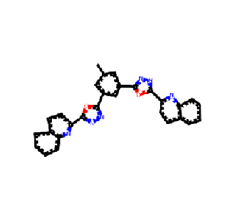 Cc1cc(-c2nnc(-c3ccc4ccccc4n3)o2)cc(-c2nnc(-c3ccc4ccccc4n3)o2)c1